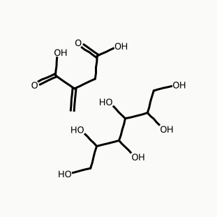 C=C(CC(=O)O)C(=O)O.OCC(O)C(O)C(O)C(O)CO